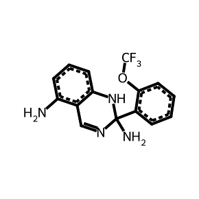 Nc1cccc2c1C=NC(N)(c1ccccc1OC(F)(F)F)N2